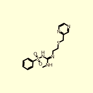 CNC(=NCCSCc1cnccn1)NS(=O)(=O)c1ccccc1